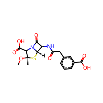 CO[C@@]1(C)S[C@H]2[C@H](NC(=O)Cc3cccc(C(=O)O)c3)C(=O)N2C1C(=O)O